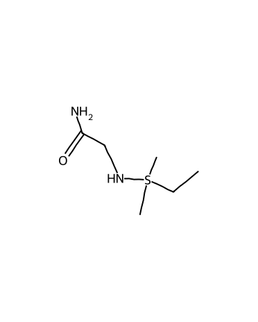 CCS(C)(C)NCC(N)=O